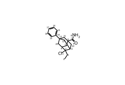 CCC1(Cl)C2CC3(C(N)=O)CC1CC(c1ccccc1)(C2)C3